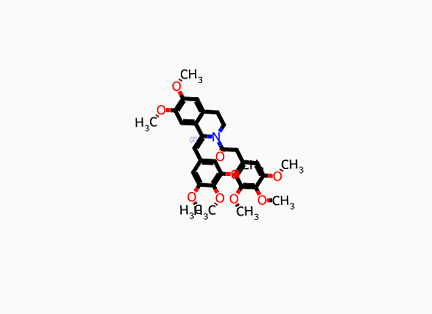 COc1cc2c(cc1OC)/C(=C/c1cc(OC)c(OC)c(OC)c1)N(C(=O)Cc1cc(OC)c(OC)c(OC)c1)CC2